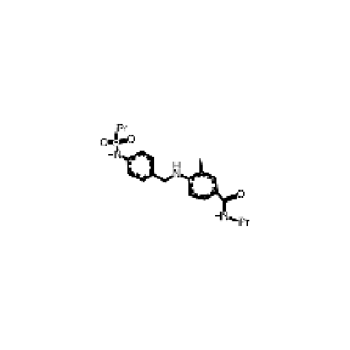 Cc1cc(C(=O)NC(C)C)ccc1NCc1ccc(NS(=O)(=O)C(C)C)cc1